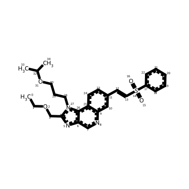 CCOCc1nc2cnc3cc(C=CS(=O)(=O)c4ccccc4)ccc3c2n1CCCOC(C)C